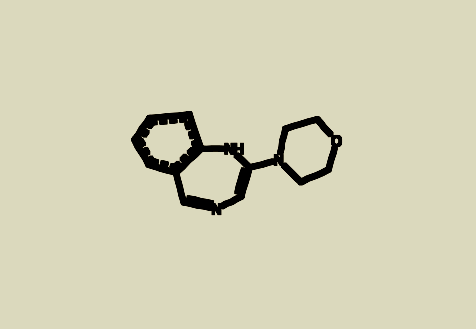 C1=NC=C(N2CCOCC2)Nc2ccccc21